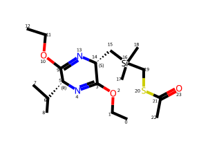 CCOC1=N[C@H](C(C)C)C(OCC)=N[C@@H]1C[Si](C)(C)CSC(C)=O